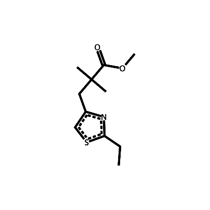 CCc1nc(CC(C)(C)C(=O)OC)cs1